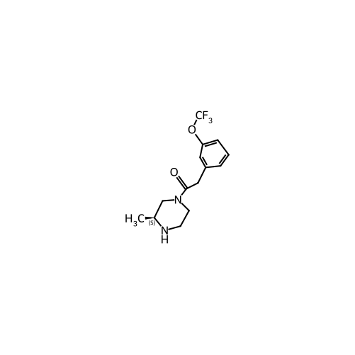 C[C@H]1CN(C(=O)Cc2cccc(OC(F)(F)F)c2)CCN1